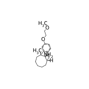 COCCOc1ccc2c(c1)[C@@]1(C)CCCCC[C@@H](C2)[C@@H]1N